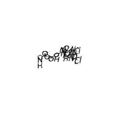 O=C(OC[C@@H](O)c1ccc(-c2noc(-c3cnn(-c4ncc(Cl)cc4Cl)c3C(F)(F)F)n2)cc1)C1CCCNC1